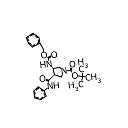 CC(C)(C)OC(=O)N1C[C@@H](NC(=O)OCc2ccccc2)[C@H](C(=O)Nc2ccccc2)C1